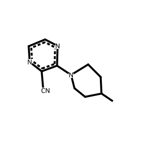 CC1CCN(c2nccnc2C#N)CC1